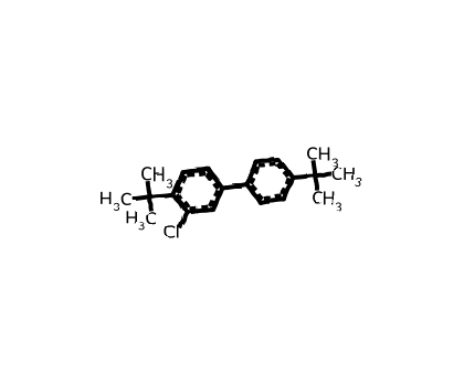 CC(C)(C)c1ccc(-c2ccc(C(C)(C)C)c(Cl)c2)cc1